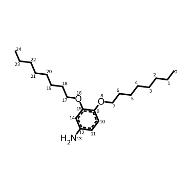 CCCCCCCCOc1ccc(N)cc1OCCCCCCCC